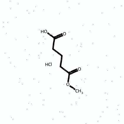 COC(=O)CCCC(=O)O.Cl